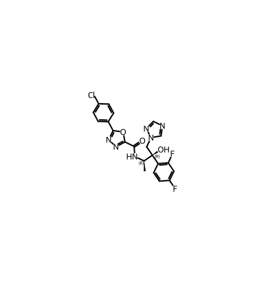 C[C@@H](NC(=O)c1nnc(-c2ccc(Cl)cc2)o1)[C@](O)(Cn1cncn1)c1ccc(F)cc1F